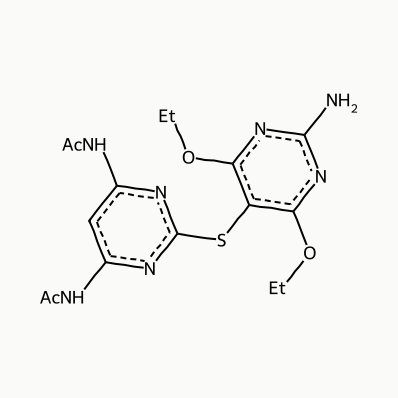 CCOc1nc(N)nc(OCC)c1Sc1nc(NC(C)=O)cc(NC(C)=O)n1